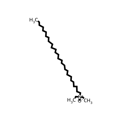 CCCCCCCCCCCCCCCCCCCCCCCCCCCC[N+]([O-])(CC)CC